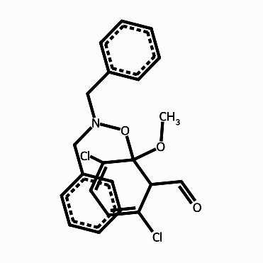 COC1(ON(Cc2ccccc2)Cc2ccccc2)C(Cl)=CC=C(Cl)C1C=O